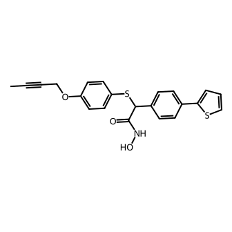 CC#CCOc1ccc(SC(C(=O)NO)c2ccc(-c3cccs3)cc2)cc1